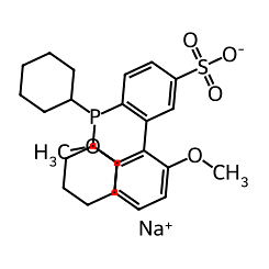 COc1cccc(OC)c1-c1cc(S(=O)(=O)[O-])ccc1P(C1CCCCC1)C1CCCCC1.[Na+]